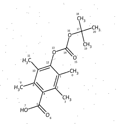 Cc1c(C)c(C(=O)O)c(C)c(C)c1OC(=O)OC(C)(C)C